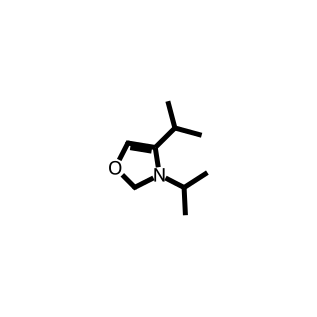 CC(C)C1=COCN1C(C)C